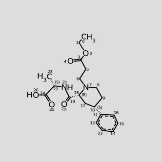 CCOC(=O)CCN1CC[C@H](c2ccccc2)C[C@@H]1C(=O)N[C@@H](C)C(=O)O